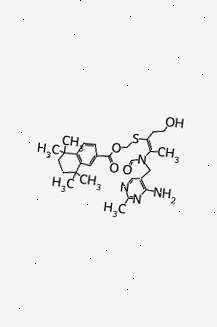 CC(=C(CCO)SCOC(=O)c1ccc2c(c1)C(C)(C)CCC2(C)C)N(C=O)Cc1cnc(C)nc1N